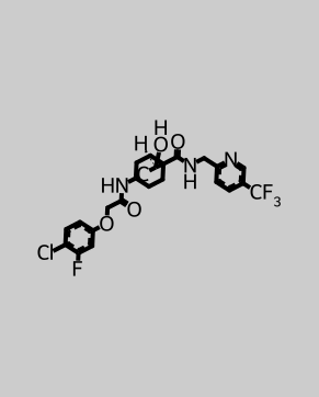 O=C(COc1ccc(Cl)c(F)c1)NC12CCC(C(=O)NCc3ccc(C(F)(F)F)cn3)(CC1)[C@H](O)C2